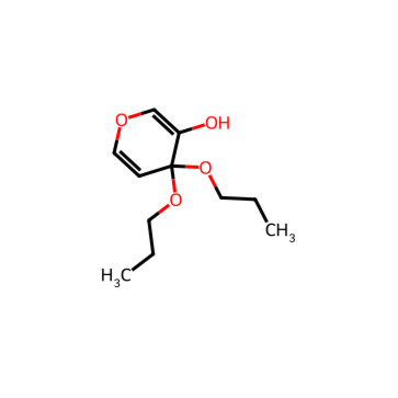 CCCOC1(OCCC)C=COC=C1O